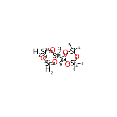 C[Si]1(C)O[Si](C)(C)O[Si](C)([Si]2(C)O[SiH2]O[SiH2]O2)O1